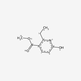 CCc1nc(O)ccc1C(=O)OC